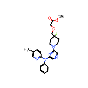 Cc1ccc(N(c2ccccc2)c2cncc(N3CCC(F)(COCC(=O)OC(C)(C)C)CC3)n2)nc1